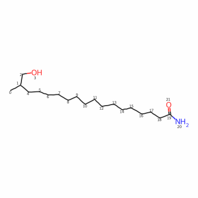 CC(CO)CCCCCCCCCCCCCCCC(N)=O